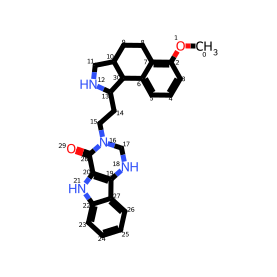 COc1cccc2c1CCC1CNC(CCN3CNc4c([nH]c5ccccc45)C3=O)C21